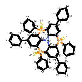 S=P1(c2ccccc2)c2cc(-c3ccccc3)cc3c2N2c4c1cc(-c1ccccc1)cc4P(=S)(c1ccccc1)c1cc(-c4ccccc4)cc(c12)P3(=S)c1ccccc1